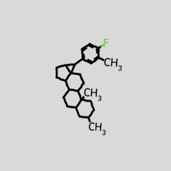 Cc1cc(C2C3CCC4C5CCC6CC(C)CCC6(C)C5CCC432)ccc1F